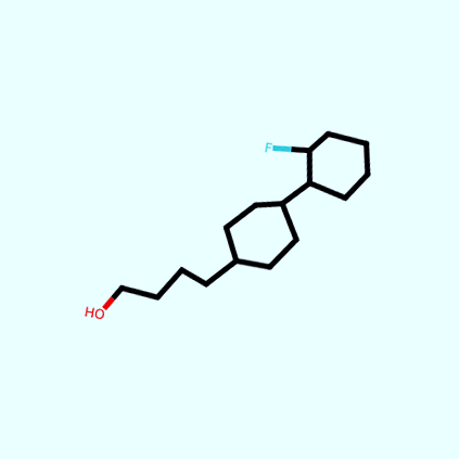 OCCCCC1CCC(C2CCCCC2F)CC1